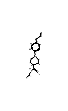 C=CCc1ccc(N2CCC(C(=O)OCC)CC2)cc1